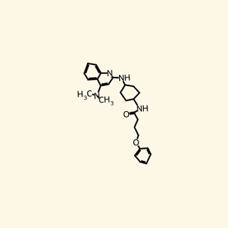 CN(C)c1cc(NC2CCC(NC(=O)CCCOc3ccccc3)CC2)nc2ccccc12